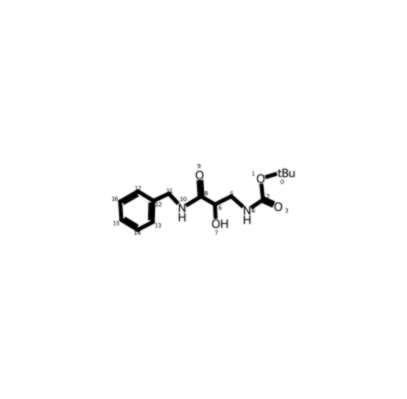 CC(C)(C)OC(=O)NCC(O)C(=O)NCc1ccccc1